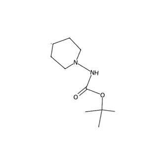 CC(C)(C)OC(=O)NN1CC[CH]CC1